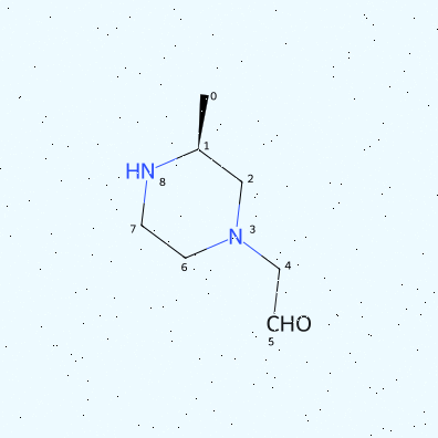 C[C@H]1CN(CC=O)CCN1